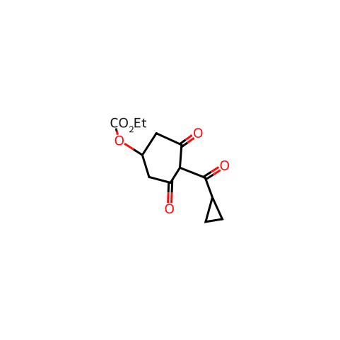 CCOC(=O)OC1CC(=O)C(C(=O)C2CC2)C(=O)C1